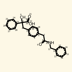 CC(Cc1ccc(CC(=O)NCc2ccccc2)cc1)(C(=O)O)c1ccccc1